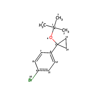 C[Si](C)(C)OC1(c2ccc(Br)cc2)CC1